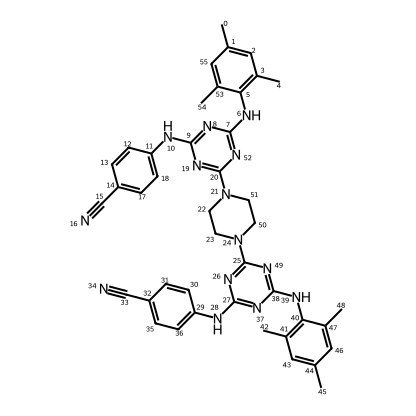 Cc1cc(C)c(Nc2nc(Nc3ccc(C#N)cc3)nc(N3CCN(c4nc(Nc5ccc(C#N)cc5)nc(Nc5c(C)cc(C)cc5C)n4)CC3)n2)c(C)c1